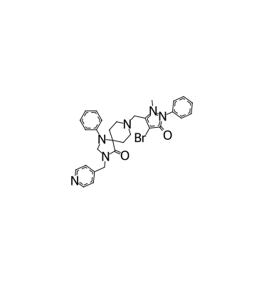 Cn1c(CN2CCC3(CC2)C(=O)N(Cc2ccncc2)CN3c2ccccc2)c(Br)c(=O)n1-c1ccccc1